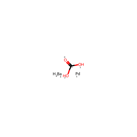 O=C(O)O.[BaH2].[Pd]